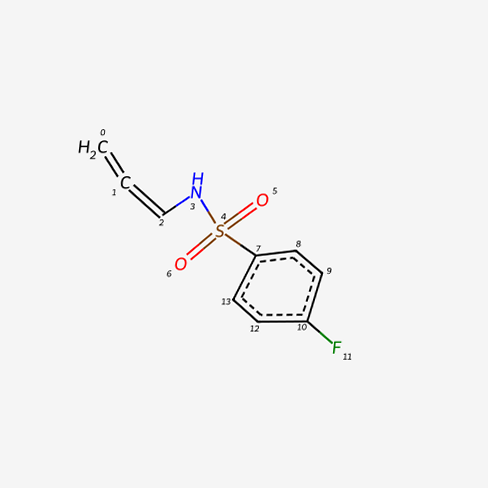 C=C=CNS(=O)(=O)c1ccc(F)cc1